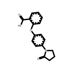 O=C(S)c1ccccc1Oc1ccc(N2CCCC2=O)cc1